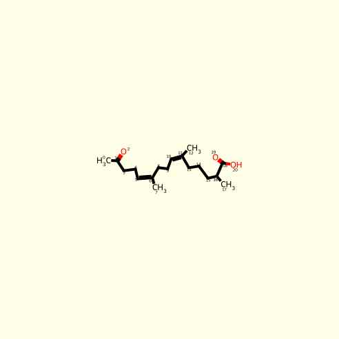 CC(=O)CCC=C(C)CCC=C(C)CCCC(C)C(=O)O